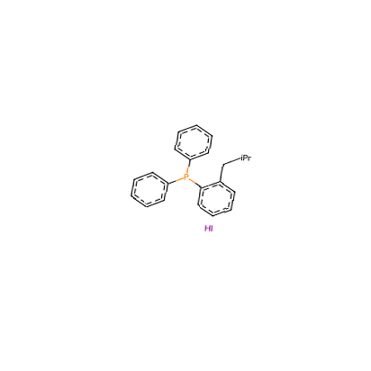 CC(C)Cc1ccccc1P(c1ccccc1)c1ccccc1.I